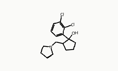 OC1(c2cccc(Cl)c2Cl)CCCC1CN1CCCC1